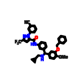 COc1ccc(C(NCC2CC2)c2cccc(NC(=O)c3cc(C(F)(F)F)nn3-c3cccc(C#N)c3)c2)cc1OCc1ccccc1